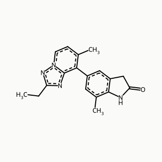 CCc1nc2c(-c3cc(C)c4c(c3)CC(=O)N4)c(C)ccn2n1